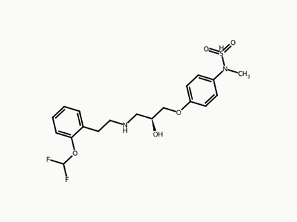 CN(c1ccc(OC[C@@H](O)CNCCc2ccccc2OC(F)F)cc1)[SH](=O)=O